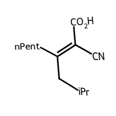 CCCCCC(CC(C)C)=C(C#N)C(=O)O